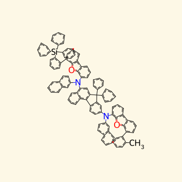 Cc1ccccc1-c1cccc2c1oc1c(N(c3ccc4c(c3)C(c3ccccc3)(c3ccccc3)c3cc(N(c5ccc6ccccc6c5)c5cccc6c5oc5c(-c7ccccc7[Si](c7ccccc7)(c7ccccc7)c7ccccc7)cccc56)c5ccccc5c3-4)c3ccc4ccccc4c3)cccc12